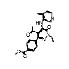 CCn1nc(-c2ccc(C(=O)OC)cc2)c(C(C)=O)c(Nc2cnccc2C)c1=O